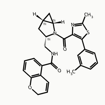 Cc1cccc(-c2sc(C)nc2C(=O)N2[C@H](CNC(=O)c3cccc4c3C=CCO4)C[C@@H]3C[C@@H]32)c1